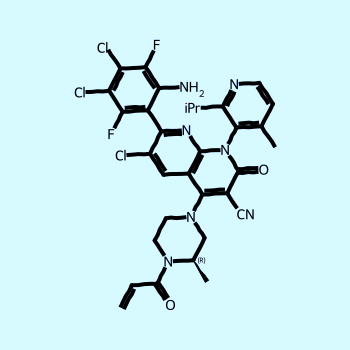 C=CC(=O)N1CCN(c2c(C#N)c(=O)n(-c3c(C)ccnc3C(C)C)c3nc(-c4c(N)c(F)c(Cl)c(Cl)c4F)c(Cl)cc23)C[C@H]1C